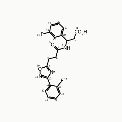 O=C(O)CC(NC(=O)CCc1nc(-c2ccccc2F)no1)c1cccc(F)c1